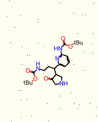 CC(C)(C)OC(=O)NCCC(c1cccc(NC(=O)OC(C)(C)C)n1)C1CNCC1=O